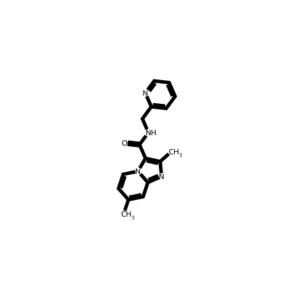 Cc1ccn2c(C(=O)NCc3ccccn3)c(C)nc2c1